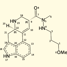 COCCCNN(C)C(=O)[C@@H]1C=C2c3cccc4[nH]cc(c34)C[C@H]2NC1